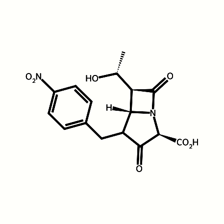 C[C@@H](O)[C@H]1C(=O)N2[C@@H](C(=O)O)C(=O)C(Cc3ccc([N+](=O)[O-])cc3)[C@H]12